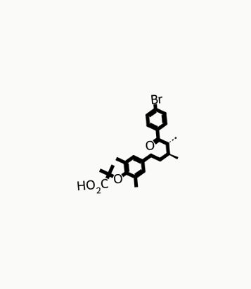 Cc1cc(CC[C@H](C)[C@@H](C)C(=O)c2ccc(Br)cc2)cc(C)c1OC(C)(C)C(=O)O